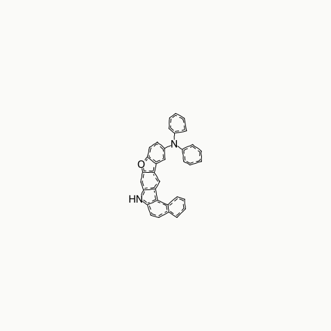 c1ccc(N(c2ccccc2)c2ccc3oc4cc5[nH]c6ccc7ccccc7c6c5cc4c3c2)cc1